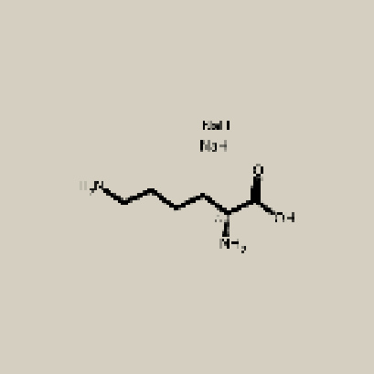 NCCCC[C@H](N)C(=O)O.[NaH].[NaH]